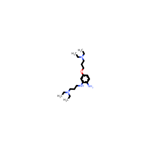 CCN(CC)CCCNc1cc(OCCCN(CC)CC)ccc1N